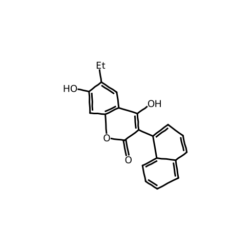 CCc1cc2c(O)c(-c3cccc4ccccc34)c(=O)oc2cc1O